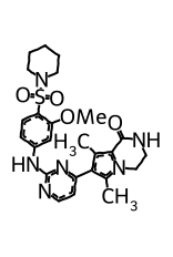 COc1cc(Nc2nccc(-c3c(C)c4n(c3C)CCNC4=O)n2)ccc1S(=O)(=O)N1CCCCC1